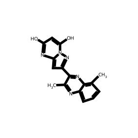 Cc1nc2cccc(C)c2nc1-c1cc2nc(O)cc(O)n2n1